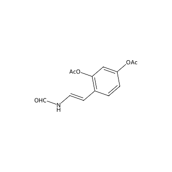 CC(=O)Oc1ccc(C=CNC=O)c(OC(C)=O)c1